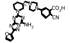 N#Cc1ccc(N2CCN(C[C@@H]3CCCN(c4nc(N)n5nc(-c6ccco6)nc5n4)C3)CC2)cc1C(=O)O